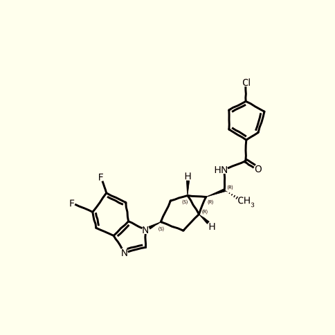 C[C@@H](NC(=O)c1ccc(Cl)cc1)[C@H]1[C@@H]2C[C@@H](n3cnc4cc(F)c(F)cc43)C[C@@H]21